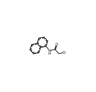 [O]CC(=O)Nc1cccc2ccccc12